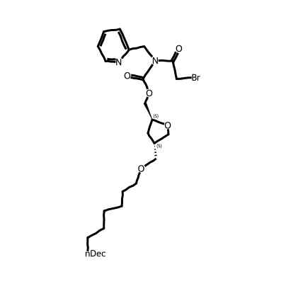 CCCCCCCCCCCCCCCCOC[C@H]1CO[C@H](COC(=O)N(Cc2ccccn2)C(=O)CBr)C1